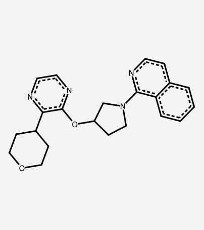 c1ccc2c(N3CCC(Oc4nccnc4C4CCOCC4)C3)nccc2c1